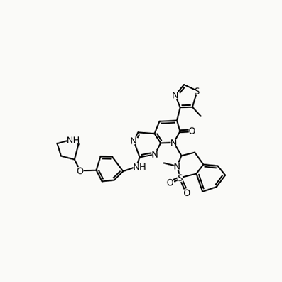 Cc1scnc1-c1cc2cnc(Nc3ccc(OC4CCNC4)cc3)nc2n(C2Cc3ccccc3S(=O)(=O)N2C)c1=O